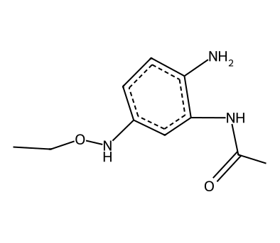 CCONc1ccc(N)c(NC(C)=O)c1